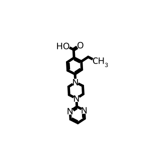 CCc1cc(N2CCN(c3ncccn3)CC2)ccc1C(=O)O